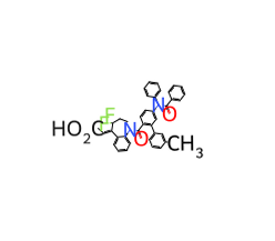 Cc1cccc(-c2cc(N(C(=O)c3ccccc3)c3ccccc3)ccc2C(=O)N2CCC(F)(F)C(=CC(=O)O)c3ccccc32)c1